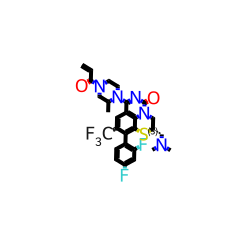 C=CC(=O)N1CCN(c2nc(=O)n3c4c(c(-c5ccc(F)cc5F)c(C(F)(F)F)cc24)S[C@@H](CN(C)C)C3)C(C)C1